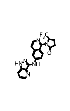 O=C1CCC(C(F)(F)F)N1c1nccc2cc(Nc3n[nH]c4cccnc34)ccc12